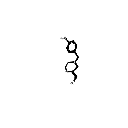 Nc1ccc(CN2CCNC(CO)C2)cc1